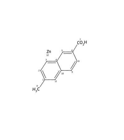 Cc1ccc2cc(C(=O)O)ccc2c1.[Zn]